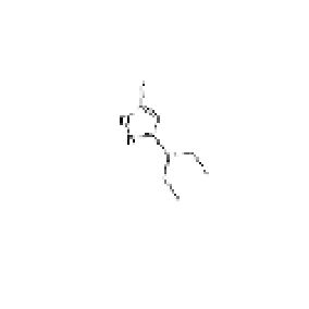 CCC(CC)c1cc(C)on1